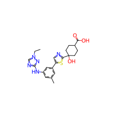 CCn1cnc(Nc2cc(C)cc(-c3cnc(C4(O)CCC(C(=O)O)CC4)s3)c2)n1